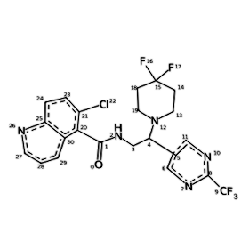 O=C(NCC(c1cnc(C(F)(F)F)nc1)N1CCC(F)(F)CC1)c1c(Cl)ccc2ncccc12